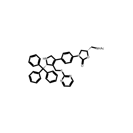 CC(=O)NC[C@H]1CN(c2ccc(C3=C(CSc4ncccn4)[C@H](C(c4ccccc4)(c4ccccc4)c4ccccc4)NC3)cc2)C(=O)O1